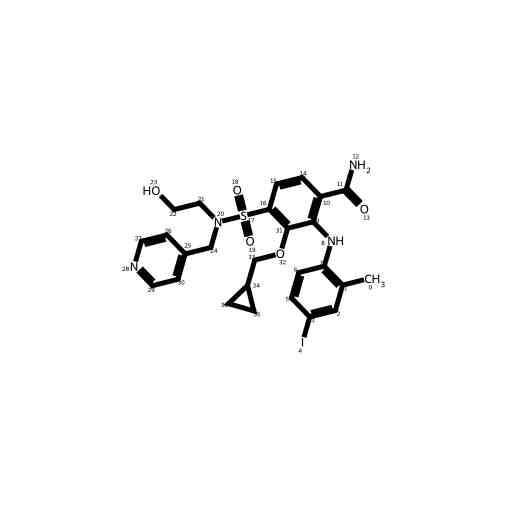 Cc1cc(I)ccc1Nc1c(C(N)=O)ccc(S(=O)(=O)N(CCO)Cc2ccncc2)c1OCC1CC1